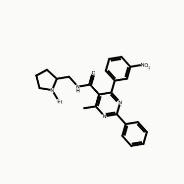 CCN1CCCC1CNC(=O)c1c(C)nc(-c2ccccc2)nc1-c1cccc([N+](=O)[O-])c1